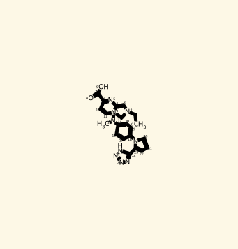 CCN1C=C2N=C(C(=O)O)C=C[N+]2(N(C)c2ccc(-n3cccc3-c3nnn[nH]3)cc2)C1